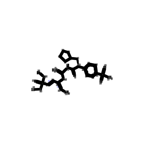 C=C(NC(=O)[C@H](CC1CCCC1)c1ccc(S(C)(=O)=O)cc1)SC(=C\N)/C=C/P(=O)(OCC)OCC